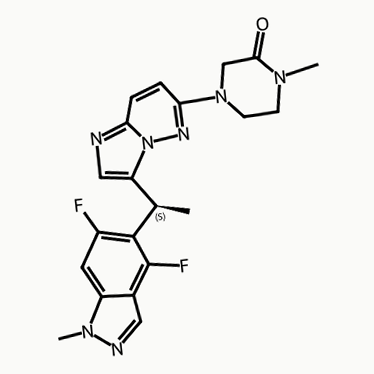 C[C@@H](c1c(F)cc2c(cnn2C)c1F)c1cnc2ccc(N3CCN(C)C(=O)C3)nn12